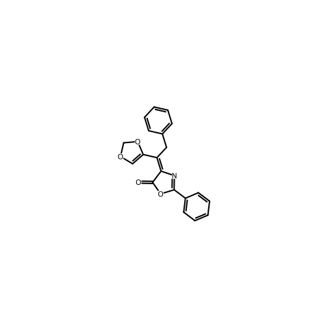 O=C1OC(c2ccccc2)=NC1=C(Cc1ccccc1)C1=COCO1